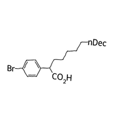 CCCCCCCCCCCCCCCC(C(=O)O)c1ccc(Br)cc1